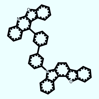 c1cc(-c2cccc(-n3c4ccccc4c4c5oc6ccccc6c5ccc43)c2)cc(-c2c3ccccc3nc3oc4ccccc4c23)c1